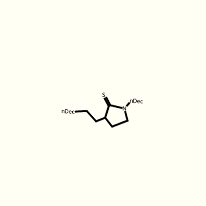 CCCCCCCCCCCCC1CCN(CCCCCCCCCC)C1=S